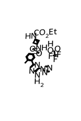 CCOC(=O)NC12CC(NS(=O)(=O)c3ccc(C)c(-c4cnc(N)c(-n5cncn5)n4)c3)(C1)C2.O=C(O)C(F)(F)F